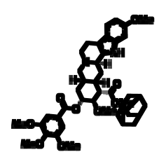 C1C2CC3CC1CC(C2)C3.COC(=O)[C@H]1[C@H]2C[C@@H]3c4[nH]c5cc(OC)ccc5c4CCN3C[C@H]2C[C@@H](OC(=O)c2cc(OC)c(OC)c(OC)c2)[C@@H]1OC